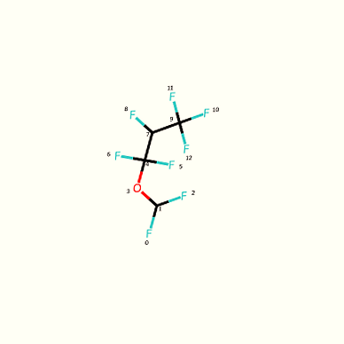 FC(F)OC(F)(F)C(F)C(F)(F)F